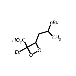 CCCCC(C)CC1OOC1(CC)C(=O)O